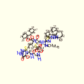 CO/N=C(/C(=O)NC1C(=O)N2C(C(=O)OC(c3ccccc3)c3ccccc3)=C(/C=C/Sc3n[nH]c(=O)c(=O)n3C(C)NC(=O)CNC(=O)OC(C)(C)C)CSC12)c1csc(NC(c2ccccc2)(c2ccccc2)c2ccccc2)n1